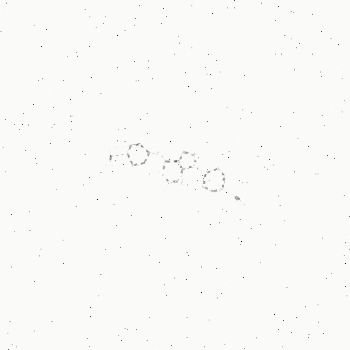 Cc1nc(Nc2ccc(C(=O)O)cc2)c2cnn(-c3ccc(C#N)cc3)c2n1